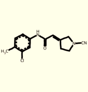 Cc1ccc(NC(=O)/C=C2\CCN(C#N)C2)cc1Cl